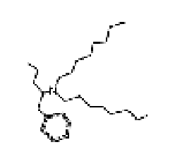 CCCCCCCCN(CCCCCCCC)C(CCC)Cc1ccccc1